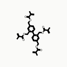 C=C(C)C(=O)OCc1ccc(-c2ccc(COC(=O)C(=C)C)cc2COC(=O)C(=C)C)c(COC(=O)C(=C)C)c1